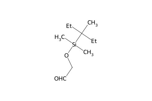 CCC(C)(CC)[Si](C)(C)OCC=O